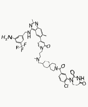 Cc1nc(NCc2cc(N)cc(C(F)(F)F)c2)c2cc(-c3ccn(CCCN(C)CC4CCC5(CC4)CCN(C(=O)c4ccc(Cl)c(N6CCC(=O)NC6=O)c4)CC5)c(=O)c3)c(C)cc2n1